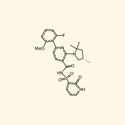 COc1cccc(F)c1-c1ccc(C(=O)NS(=O)(=O)c2ccc[nH]c2=O)c(N2C[C@@H](C)CC2(C)C)n1